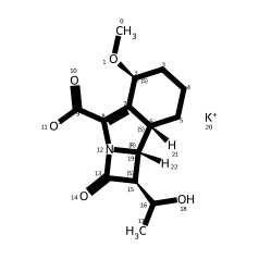 CO[C@H]1CCC[C@H]2C1=C(C(=O)[O-])N1C(=O)[C@H](C(C)O)[C@@H]21.[K+]